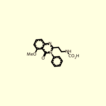 COc1cccc2nc(CCNC(=O)O)n(-c3ccccc3)c(=O)c12